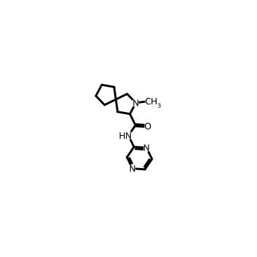 CN1CC2(CCCC2)CC1C(=O)Nc1cnccn1